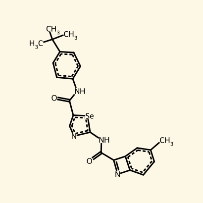 Cc1ccc2c(c1)C(C(=O)Nc1ncc(C(=O)Nc3ccc(C(C)(C)C)cc3)[se]1)=N2